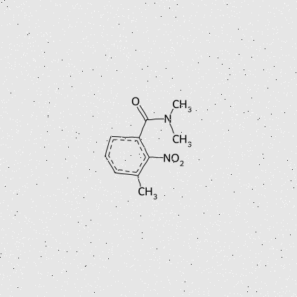 Cc1cccc(C(=O)N(C)C)c1[N+](=O)[O-]